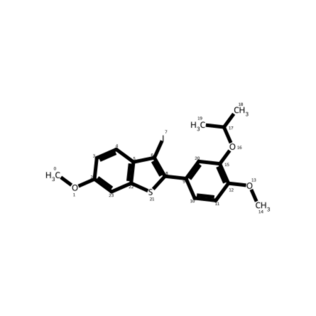 COc1ccc2c(I)c(-c3ccc(OC)c(OC(C)C)c3)sc2c1